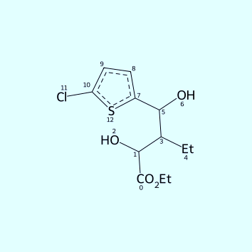 CCOC(=O)C(O)C(CC)C(O)c1ccc(Cl)s1